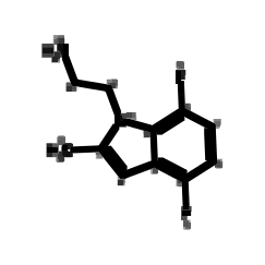 Cc1cc2c(F)ccc(F)c2n1CCN